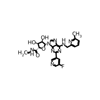 C=CNC(=O)[C@H]1O[C@@H](n2cnc3c(NCc4cccc(C)n4)nc(-c4cncc(F)c4)nc32)[C@H](O)[C@@H]1O